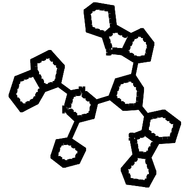 c1ccc(-c2cc(-c3cc(-c4cccc5c4sc4ccccc45)cc(-c4cccc5c4sc4ccccc45)c3)nc(-c3cccc4ccccc34)n2)cc1